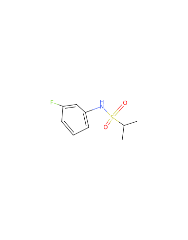 CC(C)S(=O)(=O)Nc1cccc(F)c1